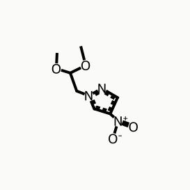 COC(Cn1cc([N+](=O)[O-])cn1)OC